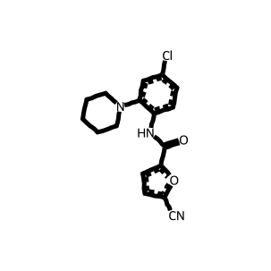 N#Cc1ccc(C(=O)Nc2ccc(Cl)cc2N2CCCCC2)o1